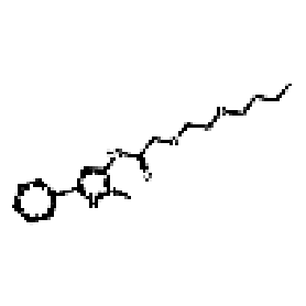 CCCCOCCOCC(=O)Nc1cc(-c2ccccc2)nn1C